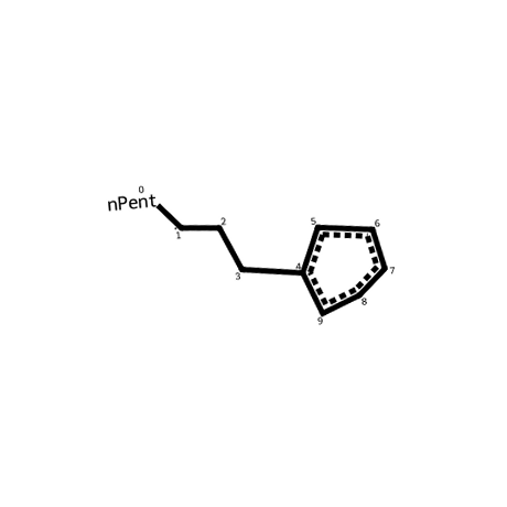 CCCCC[CH]CCc1ccccc1